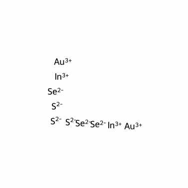 [Au+3].[Au+3].[In+3].[In+3].[S-2].[S-2].[S-2].[Se-2].[Se-2].[Se-2]